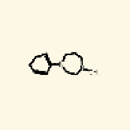 CN1CCCN(C2=CCCC=C2)CC1